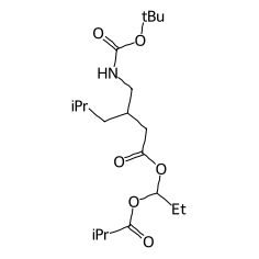 CCC(OC(=O)CC(CNC(=O)OC(C)(C)C)CC(C)C)OC(=O)C(C)C